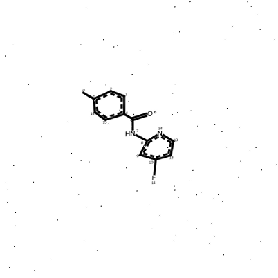 Cc1ccc(C(=O)Nc2cc(F)ccn2)cc1